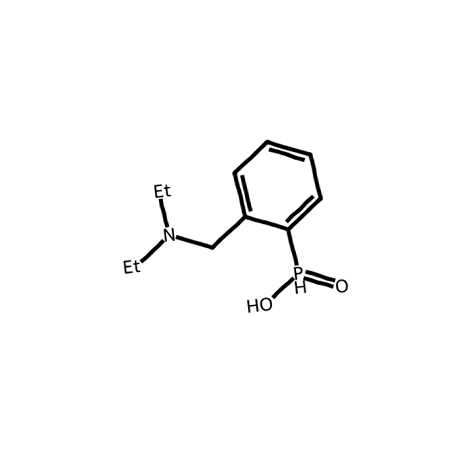 CCN(CC)Cc1ccccc1[PH](=O)O